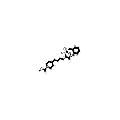 COC(=O)N1CCC(CCCC[C@@H](NS(=O)(=O)Cc2ccccc2)C(=O)O)CC1